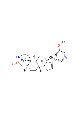 CCOc1cncc(C2=CC[C@H]3[C@@H]4CC[C@H]5CC(=O)NCC[C@]5(C)[C@H]4CC[C@]23C)c1